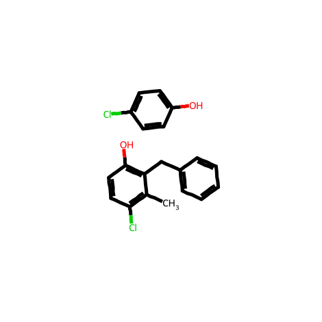 Cc1c(Cl)ccc(O)c1Cc1ccccc1.Oc1ccc(Cl)cc1